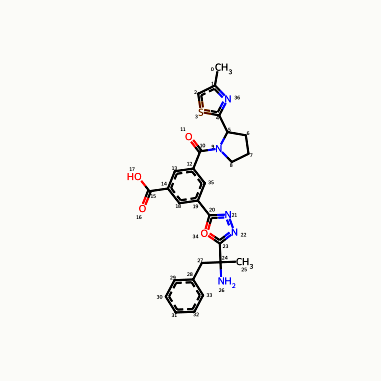 Cc1csc(C2CCCN2C(=O)c2cc(C(=O)O)cc(-c3nnc(C(C)(N)Cc4ccccc4)o3)c2)n1